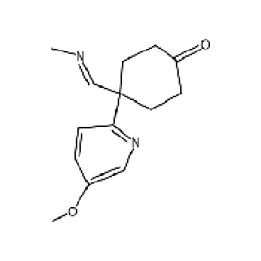 C/N=C/C1(c2ccc(OC)cn2)CCC(=O)CC1